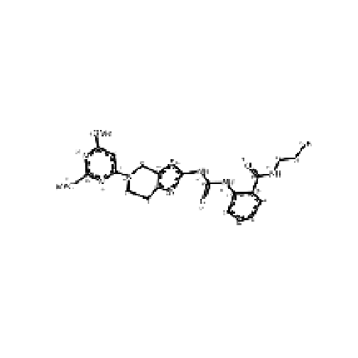 COc1cc(N2CCc3nc(NC(=O)Nc4ccccc4C(=O)NCCC(C)C)sc3C2)nc(OC)n1